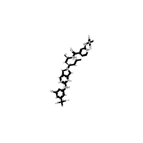 C/C=C\C(=C/C(=N)NS(C)(=O)=O)C(=O)N[C@H](C)C[C@@H](CCC)N1Cc2cnc(Nc3cc(F)cc(C(C)(F)F)c3)nc2C1